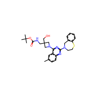 Cc1ccc2nc(N3CCSc4ccccc4C3)nc(N3CC(CO)(CNC(=O)OC(C)(C)C)C3)c2c1